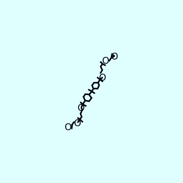 CC(C)(CCCOC(C)(C)C1CCC(C(C)(C)C2CCC(C(C)(C)OCCCC(C)(C)OCC3CO3)CC2)CC1)OCC1CO1